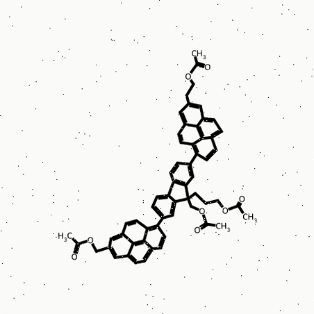 CC(=O)OCCCC1(COC(C)=O)c2cc(-c3ccc4ccc5cc(CCOC(C)=O)cc6ccc3c4c56)ccc2-c2ccc(-c3ccc4ccc5cc(COC(C)=O)cc6ccc3c4c56)cc21